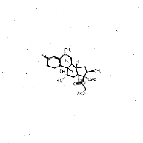 CC(=O)OCC(=O)[C@@]1(OC(C)=O)[C@H](C)C[C@H]2[C@@H]3C[C@H](C)C4=CC(=O)CC[C@]4(C)[C@@]3(F)[C@@H](O)C[C@@]21C